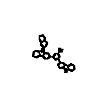 Brc1cc(-c2ccc3sc4ccccc4c3c2)cc(-c2ccc3c4ccccc4n(-c4ccc5ccccc5c4)c3c2)c1